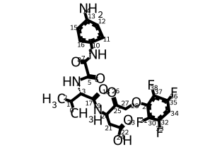 CC(C)[C@H](NC(=O)C(=O)Nc1ccc(N)cc1)C(=O)NC(CC(=O)O)C(=O)COc1c(F)c(F)cc(F)c1F